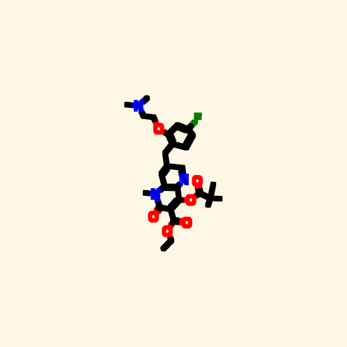 CCOC(=O)c1c(OC(=O)C(C)(C)C)c2ncc(Cc3ccc(F)cc3OCCN(C)C)cc2n(C)c1=O